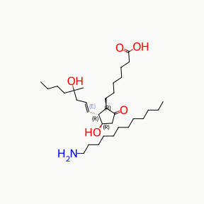 CCCCC(C)(O)C/C=C/[C@H]1[C@H](O)CC(=O)[C@@H]1CCCCCCC(=O)O.CCCCCCCCCCCCN